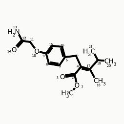 COC(=O)/C(Cc1ccc(OCC(N)=O)cc1)=C(\C)C(C)C